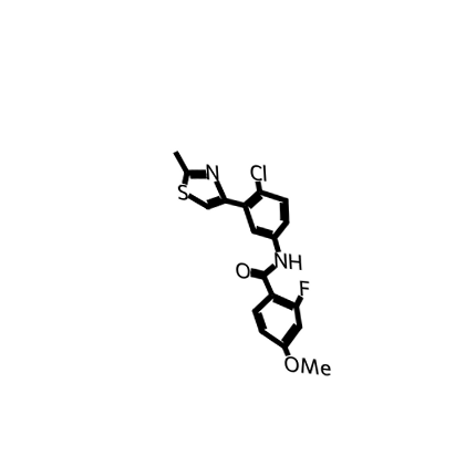 COc1ccc(C(=O)Nc2ccc(Cl)c(-c3csc(C)n3)c2)c(F)c1